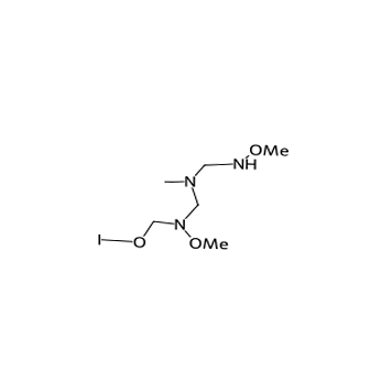 CONCN(C)CN(COI)OC